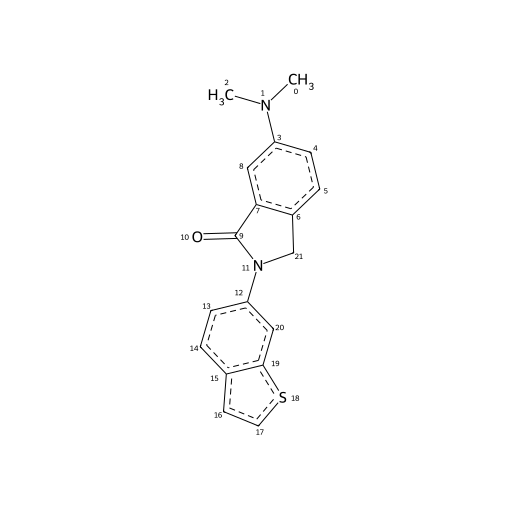 CN(C)c1ccc2c(c1)C(=O)N(c1ccc3ccsc3c1)C2